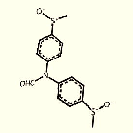 C[S+]([O-])c1ccc(N(C=O)c2ccc([S+](C)[O-])cc2)cc1